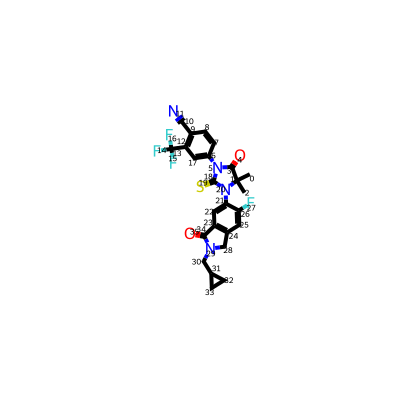 CC1(C)C(=O)N(c2ccc(C#N)c(C(F)(F)F)c2)C(=S)N1c1cc2c(cc1F)CN(CC1CC1)C2=O